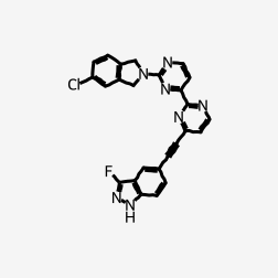 Fc1n[nH]c2ccc(C#Cc3ccnc(-c4ccnc(N5Cc6ccc(Cl)cc6C5)n4)n3)cc12